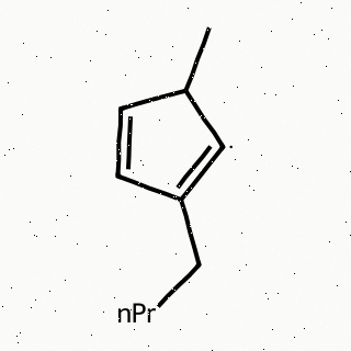 CCCCC1=[C]C(C)C=C1